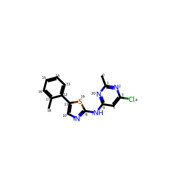 Cc1nc(Cl)cc(Nc2ncc(-c3ccccc3C)s2)n1